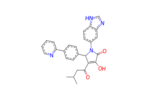 CC(C)CC(=O)C1=C(O)C(=O)N(c2ccc3[nH]cnc3c2)C1c1ccc(-c2ccccn2)cc1